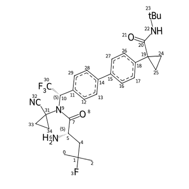 CC(C)(F)C[C@H](N)C(=O)N([C@@H](c1ccc(-c2ccc(C3(C(=O)NC(C)(C)C)CC3)cc2)cc1)C(F)(F)F)C1(C#N)CC1